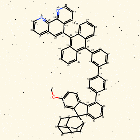 COc1ccc2c(c1)C1(c3cccc(-c4ccc(-c5cccc(-c6c7ccccc7c(-c7cc8cccnc8c8ncccc78)c7ccccc67)c5)cc4)c3-2)C2CC3CC(C2)CC1C3